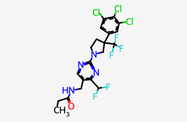 CCC(=O)NCc1cnc(N2CCC(c3cc(Cl)c(Cl)c(Cl)c3)(C(F)(F)F)C2)nc1C(F)F